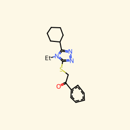 CCn1c(SCC(=O)c2ccccc2)nnc1C1CCCCC1